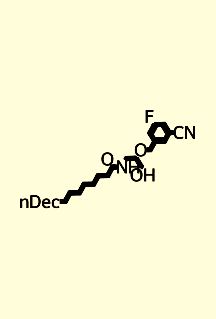 CCCCCCCCCCCCCCCCCC(=O)NCC(CO)OCc1cc(F)cc(C#N)c1